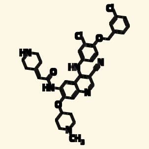 CN1CCC(Oc2cc3ncc(C#N)c(Nc4ccc(OCc5cccc(Cl)c5)c(Cl)c4)c3cc2NC(=O)C=C2CCNCC2)CC1